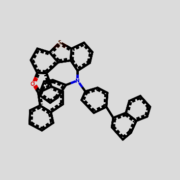 c1ccc(N(c2ccc(-c3cccc4ccccc34)cc2)c2cccc3sc4ccc5oc6c7ccccc7ccc6c5c4c23)cc1